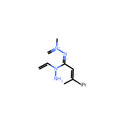 C=CN(N)C(/C=C(\C)C(C)C)=N\[N+](=C)C